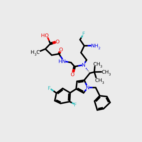 CC(CC(=O)NCC(=O)N(CCC(N)CF)[C@@H](c1cc(-c2cc(F)ccc2F)cn1Cc1ccccc1)C(C)(C)C)C(=O)O